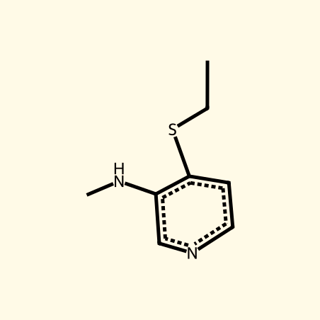 CCSc1ccncc1NC